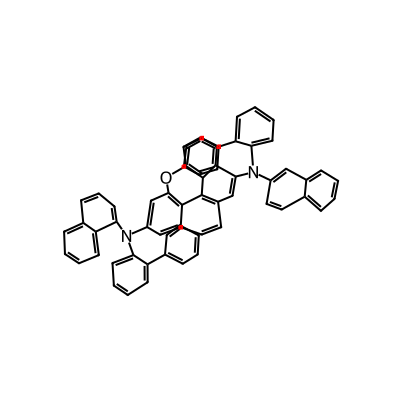 c1ccc(-c2ccccc2N(c2cc3c4c(ccc5cc(N(c6ccc7ccccc7c6)c6ccccc6-c6ccccc6)c6cccc(c6c54)O3)c2)c2cccc3ccccc23)cc1